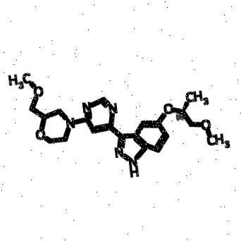 COCC1CN(c2cc(-c3n[nH]c4ccc(O[C@@H](C)COC)cc34)ncn2)CCO1